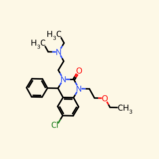 CCOCCN1C(=O)N(CCN(CC)CC)C(c2ccccc2)c2cc(Cl)ccc21